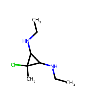 CCN[C]1C(NCC)C1(C)Cl